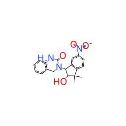 CC1(C)c2ccc([N+](=O)[O-])cc2C(N(Cc2ccccc2)C(N)=O)C1O